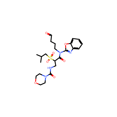 CC(C)CS(=O)(=O)C(CNC(=O)N1CCOCC1)C(=O)N(CCCC=O)c1nc2ccccc2o1